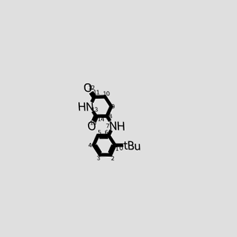 CC(C)(C)c1ccccc1NC1CCC(=O)NC1=O